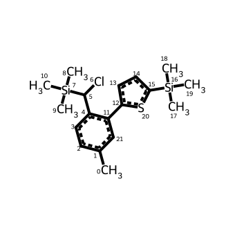 Cc1ccc(C(Cl)[Si](C)(C)C)c(-c2ccc([Si](C)(C)C)s2)c1